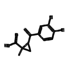 C=C(c1ccc(Cl)c(Cl)c1)C1CC1(C)C(=O)O